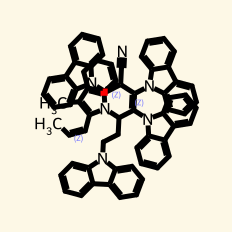 C/C=C\c1c(C)c2c(n1C(CCn1c3ccccc3c3ccccc31)/C(=C(\C(C#N)=C\n1c3ccccc3c3ccccc31)n1c3ccccc3c3ccccc31)n1c3ccccc3c3ccccc31)C=CCC2